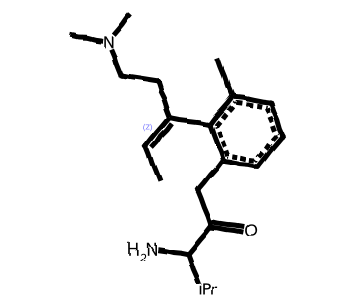 C/C=C(/CCN(C)C)c1c(C)cccc1CC(=O)C(N)C(C)C